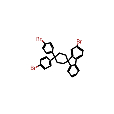 Brc1ccc(C2(c3ccc(Br)cc3)CCC3(CC2)c2ccccc2-c2ccc(Br)cc23)cc1